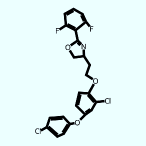 Fc1cccc(F)c1C1=NC(CCOc2ccc(Oc3ccc(Cl)cc3)cc2Cl)CO1